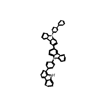 c1ccc(-c2ccc(-n3c4ccccc4c4cc(-c5ccc6c(c5)c5ccccc5n6-c5ccc(-c6cccc7c6[nH]c6ccccc67)cc5)ccc43)cc2)cc1